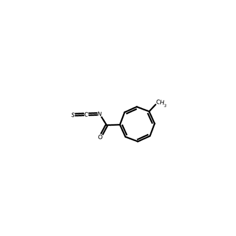 CC1=C/C=C\C=C(C(=O)N=C=S)/C=C\1